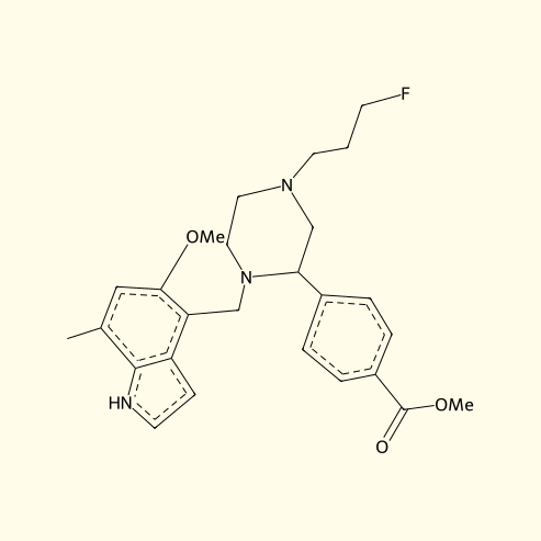 COC(=O)c1ccc(C2CN(CCCF)CCN2Cc2c(OC)cc(C)c3[nH]ccc23)cc1